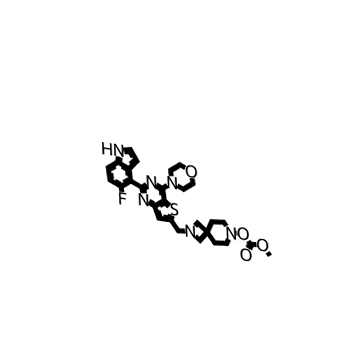 COC(=O)ON1CCC2(CC1)CN(Cc1cc3nc(-c4c(F)ccc5[nH]ccc45)nc(N4CCOCC4)c3s1)C2